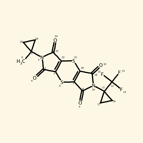 CC1(n2c(=O)c3sc4c(=O)n(C5(C(F)(F)F)CC5)c(=O)c4sc3c2=O)CC1